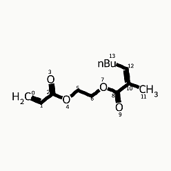 C=CC(=O)OCCOC(=O)C(C)=CCCCC